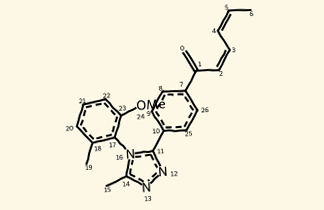 C=C(/C=C\C=C/C)c1ccc(-c2nnc(C)n2-c2c(C)cccc2OC)cc1